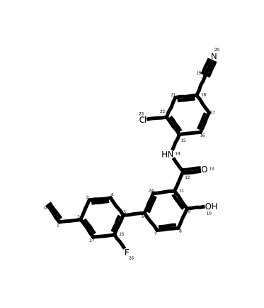 C=Cc1ccc(-c2ccc(O)c(C(=O)Nc3ccc(C#N)cc3Cl)c2)c(F)c1